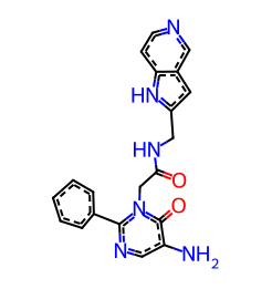 Nc1cnc(-c2ccccc2)n(CC(=O)NCc2cc3cnccc3[nH]2)c1=O